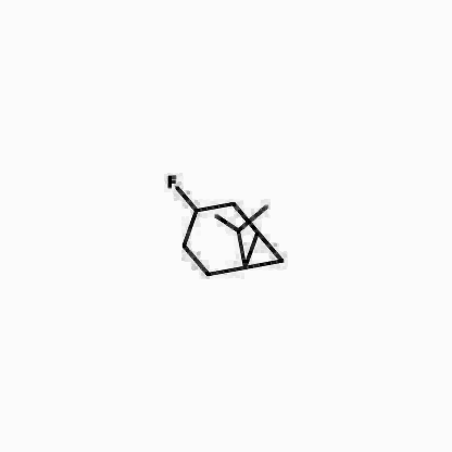 CC(C)C12CCC(F)CC1C2